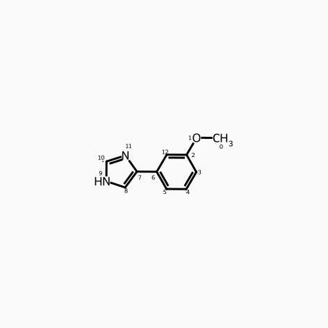 COc1cccc(-c2c[nH][c]n2)c1